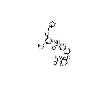 CNC(=O)c1cc(Oc2ccc3c(c2)C=C(C(=O)Nc2cc(OCCN4CCCC4)cc(C(F)(F)F)c2)CO3)ccn1